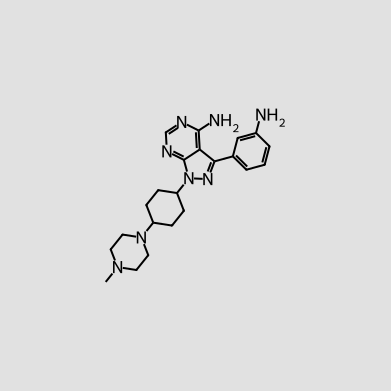 CN1CCN(C2CCC(n3nc(-c4cccc(N)c4)c4c(N)ncnc43)CC2)CC1